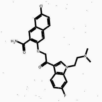 CN(C)CCn1cc(C(=O)COc2cc3ccc(Cl)cc3cc2C(N)=O)c2ccc(F)cc21